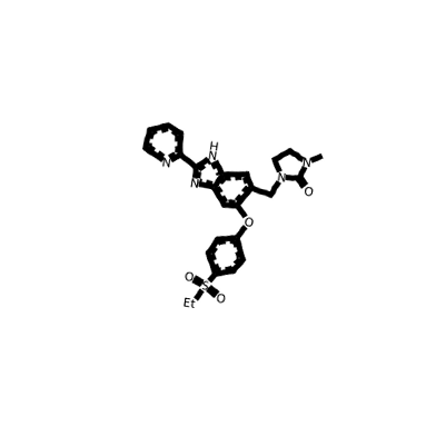 CCS(=O)(=O)c1ccc(Oc2cc3nc(-c4ccccn4)[nH]c3cc2CN2CCN(C)C2=O)cc1